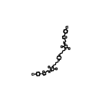 O=C1CN(N=Cc2ccc(-c3ccc(Cl)cc3)o2)C(=O)N1CCCCN1CCN(CCCCN2C(=O)CN(N=Cc3ccc(-c4ccc(Cl)cc4)o3)C2=O)CC1